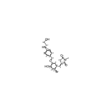 CN1C(=O)S/C(=C\c2cc(OCc3cnc(NCCO)nc3)c(O)cc2Br)C1=O